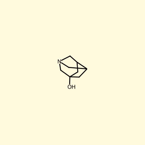 OC12CC3CN(CC3C1)C2